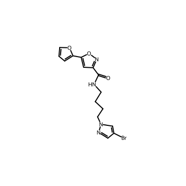 O=C(NCCCCn1cc(Br)cn1)c1cc(-c2ccco2)on1